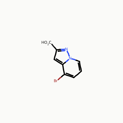 O=C(O)c1cc2c(Br)cccn2n1